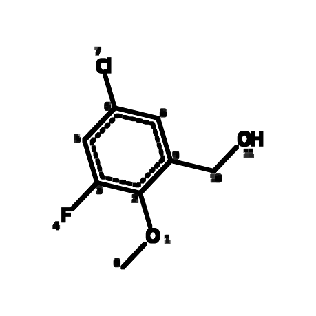 COc1c(F)cc(Cl)cc1CO